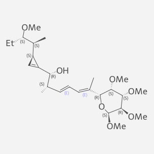 CC[C@H](OC)[C@@H](C)[C@@H]1C=C1[C@H](O)[C@@H](C)/C=C/C=C(\C)[C@H]1O[C@H](OC)[C@H](OC)[C@@H](OC)[C@H]1OC